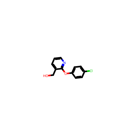 OCc1cccnc1Oc1ccc(Cl)cc1